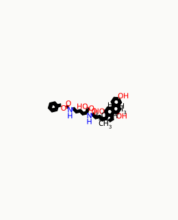 C[C@H](CCC(=O)NC(CCCCNC(=O)OCc1ccccc1)C(=O)O)[C@H]1CCC2[C@@H]3[C@H](O)C[C@@H]4CC(O)CC[C@]4(C)[C@H]3C[C@H](O)[C@@]21C